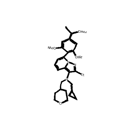 CCc1nn2c(-c3c(OC)cc(C(C)OC)cc3OC)cccc2c1N(CC1CCOCC1)CC1CC1